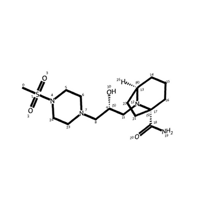 CS(=O)(=O)N1CCN(C[C@H](O)CN2[C@@H]3C[CH]C[C@@]2(C(N)=O)CC3)CC1